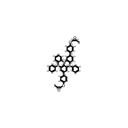 CC1OC1Oc1ccc(-c2cc3c4c(c2)B(c2ccccc2)c2ccc(-c5ccc(OC6OC6C)cc5)cc2N4c2ccccc2B3c2ccccc2)cc1